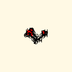 CO[C@@]1(C)CC[C@H]2[C@H](C)CC[C@H]3[C@@H](C)[C@H](OC(=O)CCC(=O)OCC(COC(=O)CCC(=O)O[C@@H]4O[C@@H]5O[C@@]6(C)CC[C@H]7[C@H](C)CC[C@@H]([C@H]4C)[C@@]57OO6)(COC(=O)CCC(=O)O[C@@H]4O[C@@H]5O[C@@]6(C)CC[C@H]7[C@H](C)CC[C@@](C)([C@H]4C)[C@@]57OO6)NC(=O)OC(C)(C)C)OC[C@]32OO1